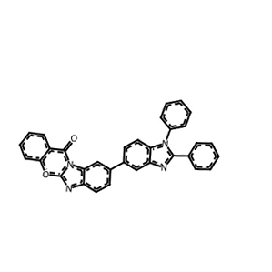 O=c1c2ccccc2oc2nc3ccc(-c4ccc5c(c4)nc(-c4ccccc4)n5-c4ccccc4)cc3n12